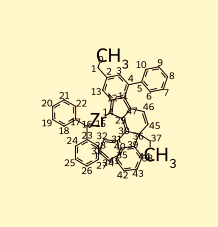 CCc1cc(-c2ccccc2)c2c(c1)=[C]([Zr]=[C](c1ccccc1)c1ccccc1)C1=C(C3=CC=CC3)C(CC)(c3ccccc3)C=CC=21